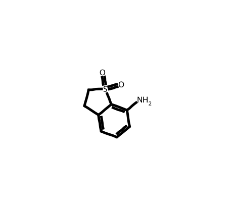 Nc1cccc2c1S(=O)(=O)CC2